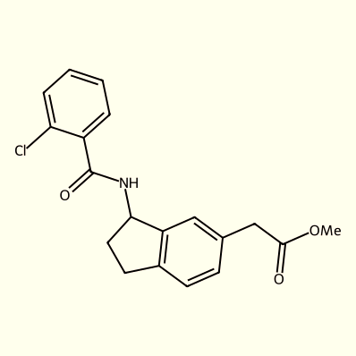 COC(=O)Cc1ccc2c(c1)C(NC(=O)c1ccccc1Cl)CC2